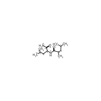 CC(C)CC(C)C(=O)NC(CC(C)C)C(N)=O